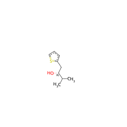 CC(C)[C@H](O)Cc1cccs1